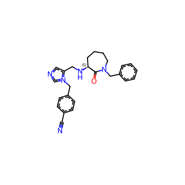 N#Cc1ccc(Cn2cncc2CN[C@H]2CCCCN(Cc3ccccc3)C2=O)cc1